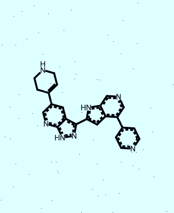 C1=C(c2cnc3[nH]nc(-c4cc5c(-c6ccncc6)cncc5[nH]4)c3c2)CCNC1